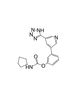 O=C(NC1CCCC1)Oc1cccc(-c2cncc(-c3nnn[nH]3)c2)c1